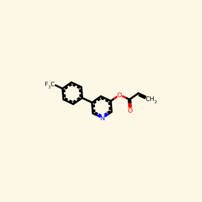 C=CC(=O)Oc1cncc(-c2ccc(C(F)(F)F)cc2)c1